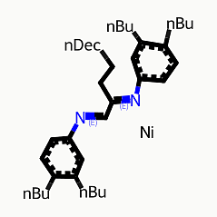 CCCCCCCCCCCCC(/C=N/c1ccc(CCCC)c(CCCC)c1)=N\c1ccc(CCCC)c(CCCC)c1.[Ni]